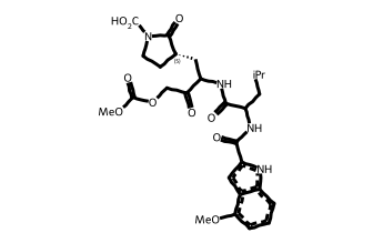 COC(=O)OCC(=O)C(C[C@@H]1CCN(C(=O)O)C1=O)NC(=O)C(CC(C)C)NC(=O)c1cc2c(OC)cccc2[nH]1